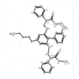 CCCCCc1cc(OCN(C(=O)OC)c2ccccc2)c(-c2cccc(C)c2)c(OCN(C(=O)OC)c2ccccc2)c1